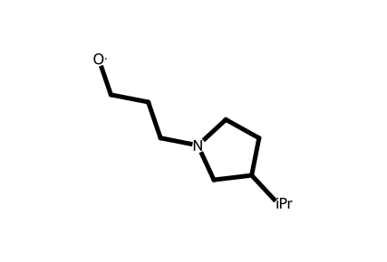 CC(C)C1CCN(CCC[O])C1